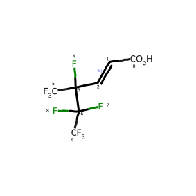 O=C(O)/C=C/C(F)(C(F)(F)F)C(F)(F)C(F)(F)F